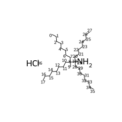 CCCCCCCCC(C)(CCCCCCCC)C(N)(CCCCCCCC)CCCCCCCC.Cl